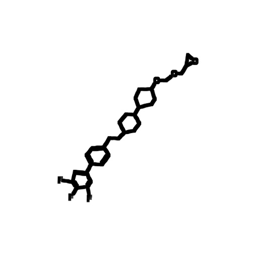 Fc1cc(-c2ccc(CCC3CCC(C4CCC(OCOCC5CO5)CC4)CC3)cc2)cc(F)c1F